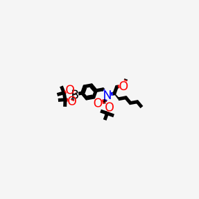 CCCCC[C@H](COC)N(Cc1ccc(B2OC(C)(C)C(C)(C)O2)cc1)C(=O)OC(C)(C)C